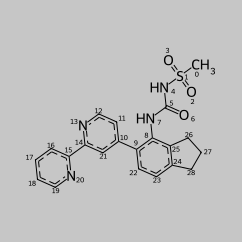 CS(=O)(=O)NC(=O)Nc1c(-c2ccnc(-c3ccccn3)c2)ccc2c1CCC2